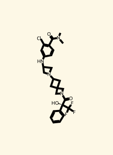 CN(C)C(=O)c1ccc(NC2CN(C3CC4(C3)CN(C(=O)[C@](O)(c3ccccc3)C(F)(F)F)C4)C2)cc1Cl